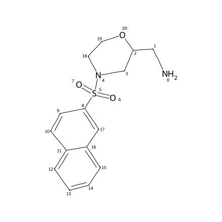 NCC1CN(S(=O)(=O)c2ccc3ccccc3c2)CCO1